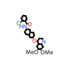 COc1cc2nccc(Oc3ccc4cc(NC(=O)c5ccccc5Cl)ccc4c3)c2cc1OC